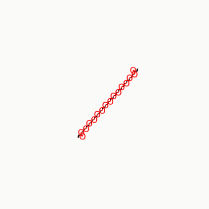 C=CC(=O)OCCOCCOCCOCCOCCOCCOCCOCCOCCOCCOCCOCCOCCOC(=O)C=C